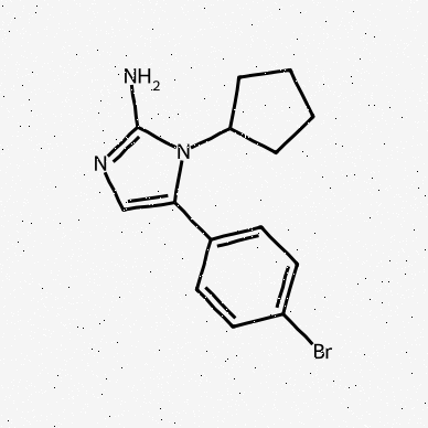 Nc1ncc(-c2ccc(Br)cc2)n1C1CCCC1